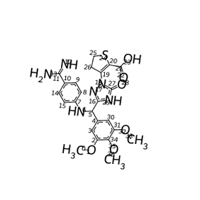 COc1cc(C(Nc2ccc(C(=N)N)cc2)c2nn(C3=C(C(=O)O)SCC3)c(=O)[nH]2)cc(OC)c1OC